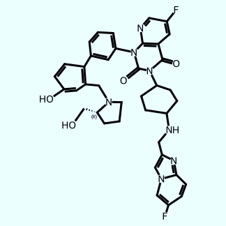 O=c1c2cc(F)cnc2n(-c2cccc(-c3ccc(O)cc3CN3CCC[C@@H]3CO)c2)c(=O)n1C1CCC(NCc2cn3cc(F)ccc3n2)CC1